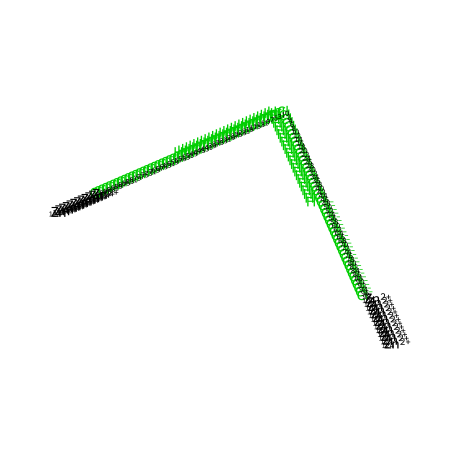 Cl.Cl.Cl.Cl.Cl.Cl.Cl.Cl.Cl.Cl.Cl.Cl.Cl.Cl.Cl.Cl.Cl.Cl.Cl.Cl.Cl.Cl.Cl.Cl.Cl.Cl.Cl.Cl.Cl.Cl.Cl.Cl.Cl.Cl.Cl.Cl.Cl.Cl.Cl.Cl.Cl.Cl.Cl.Cl.Cl.Cl.Cl.Cl.Cl.Cl.[Cl-].[Cl-].[Cl-].[Cl-].[Cl-].[Cl-].[Cl-].[Cl-].[Cl-].[Cl-].[Cl-].[Cl-].[Cl-].[Cl-].[Cl-].[Cl-].[Cl-].[Cl-].[Cl-].[Cl-].[Cl-].[Cl-].[Cl-].[Cl-].[Cl-].[Cl-].[Cl-].[Cl-].[Cl-].[Cl-].[Cl-].[Cl-].[Cl-].[Cl-].[Cl-].[Cl-].[Cl-].[Cl-].[Cl-].[Cl-].[Cl-].[Cl-].[Cl-].[Cl-].[Cl-].[Cl-].[Cl-].[Cl-].[Cl-].[Cl-].[Zn+2].[Zn+2].[Zn+2].[Zn+2].[Zn+2].[Zn+2].[Zn+2].[Zn+2].[Zn+2].[Zn+2].[Zn+2].[Zn+2].[Zn+2].[Zn+2].[Zn+2].[Zn+2].[Zn+2].[Zn+2].[Zn+2].[Zn+2].[Zn+2].[Zn+2].[Zn+2].[Zn+2].[Zn+2]